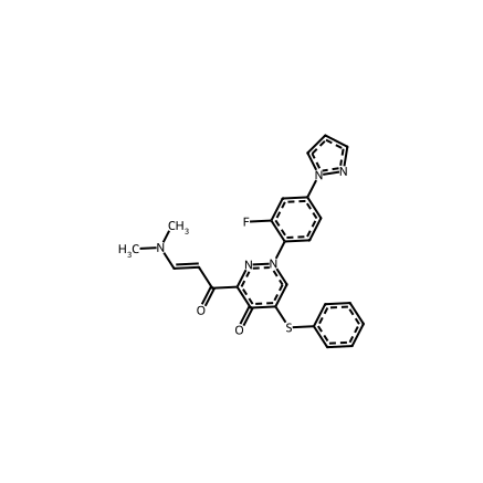 CN(C)C=CC(=O)c1nn(-c2ccc(-n3cccn3)cc2F)cc(Sc2ccccc2)c1=O